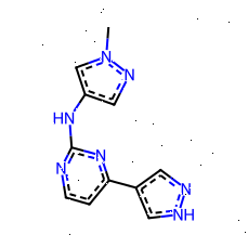 Cn1cc(Nc2nccc(-c3cn[nH]c3)n2)cn1